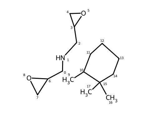 C(NCC1CO1)C1CO1.CC1CCCCC1(C)C